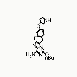 CCCCOc1nc(N)c2ncc(Cc3ccc(OC4CCNC4)cc3F)n2n1